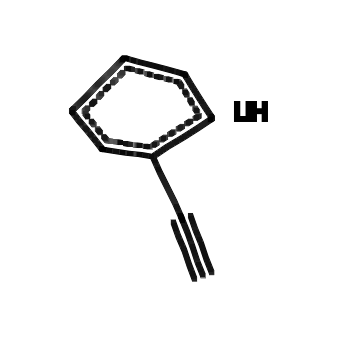 C#Cc1ccccc1.[LiH]